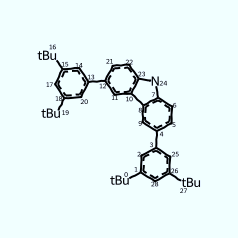 CC(C)(C)c1cc(-c2ccc3c(c2)-c2cc(-c4cc(C(C)(C)C)cc(C(C)(C)C)c4)ccc2[N]3)cc(C(C)(C)C)c1